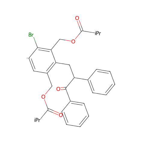 CC(C)C(=O)OCc1c[c]c(Br)c(COC(=O)C(C)C)c1CC(C(=O)c1ccccc1)c1ccccc1